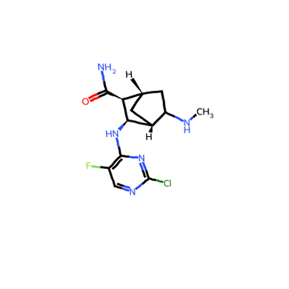 CNC1C[C@@H]2C[C@H]1[C@@H](Nc1nc(Cl)ncc1F)[C@H]2C(N)=O